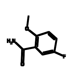 COc1ccc(F)cc1C(N)=O